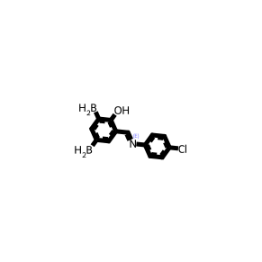 Bc1cc(B)c(O)c(/C=N/c2ccc(Cl)cc2)c1